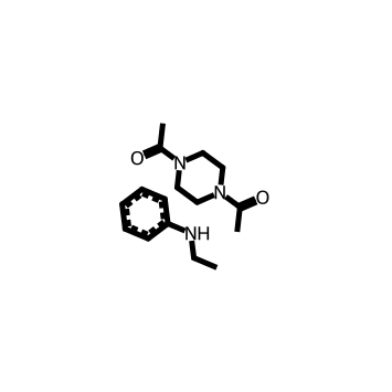 CC(=O)N1CCN(C(C)=O)CC1.CCNc1ccccc1